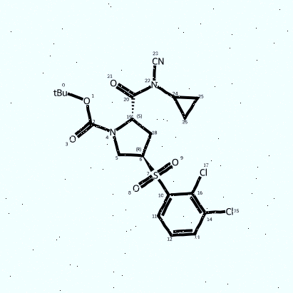 CC(C)(C)OC(=O)N1C[C@H](S(=O)(=O)c2cccc(Cl)c2Cl)C[C@H]1C(=O)N(C#N)C1CC1